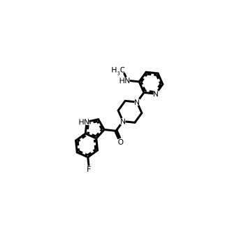 CNc1cccnc1N1CCN(C(=O)c2c[nH]c3ccc(F)cc23)CC1